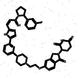 N=C(/C=C\c1ncc(-c2cccc(N3CCN(CCOc4ccc5c(c4)CN(C4CCC(=O)NC4=O)C5=O)CC3)n2)[nH]1)N1CCCC1c1cccc(F)c1